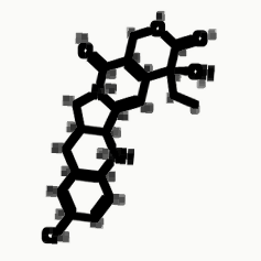 CC[C@@]1(O)C(=O)OCc2c1cc1n(c2=O)CC2Cc3cc(Cl)ccc3NC12